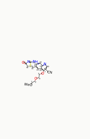 COCCOCCOc1c(C#N)cnc2ccc(/C=S3/CC(=O)N=C3N)cc12